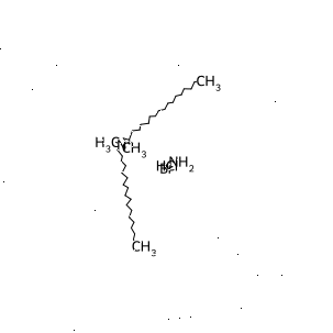 CCCCCCCCCCCCCCCCCC[N+](C)(C)CCCCCCCCCCCCCCCCCC.Cl.NBr